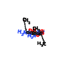 CCCCCCCCCCCCc1cc2c(cc1N)nc1c3ccc4c5c(N)cc6c(=O)n7c8cc(CCCCCCCCCCCC)c([N+](=O)[O-])cc8nc7c7ccc(c8c(OCC)cc(c(=O)n21)c3c48)c5c67